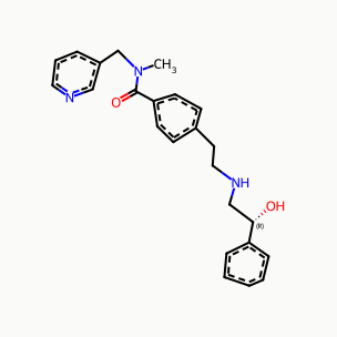 CN(Cc1cccnc1)C(=O)c1ccc(CCNC[C@H](O)c2ccccc2)cc1